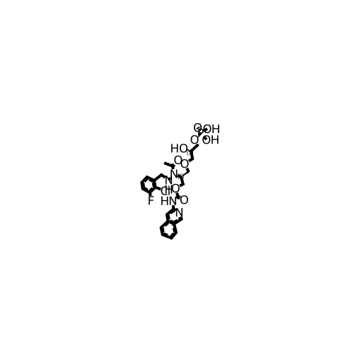 CC(=O)N(NCc1cccc(F)c1Cl)[C@@H](COC[C@H](O)COP(=O)(O)O)COC(=O)Nc1cc2ccccc2cn1